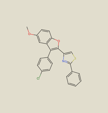 COc1ccc2oc(-c3csc(-c4ccccc4)n3)c(-c3ccc(Cl)cc3)c2c1